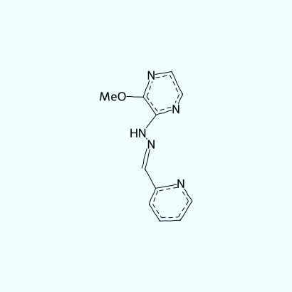 COc1nccnc1N/N=C/c1ccccn1